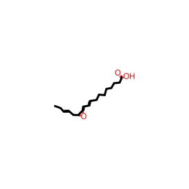 CCC=CCC1OC1=CC=CCCCCCCCC(=O)O